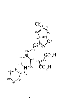 Clc1ccc2onc(OCCC3CCN(CC4CCCCC4)CC3)c2c1.O=C(O)C=CC(=O)O